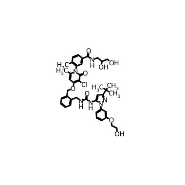 Cc1ccc(C(=O)NCC(O)CO)cc1-n1c(C)cc(OCc2ccccc2CNC(=O)Nc2cc(C(C)(C)C)nn2-c2cccc(OCCO)c2)c(Cl)c1=O